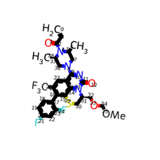 C=CC(=O)N1C(C)CN(c2nc(=O)n3c4c(c(-c5ccc(F)cc5F)c(C(F)(F)F)cc24)SC[C@@H]3COCOC)C[C@H]1C